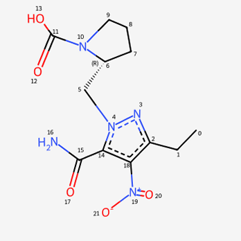 CCc1nn(C[C@H]2CCCN2C(=O)O)c(C(N)=O)c1[N+](=O)[O-]